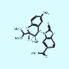 COC(=O)c1ccc2oc(=S)n([C@H]3c4cc([N+](=O)[O-])ccc4O[C@@](C)(C(OC)OC)[C@@H]3O)c2c1